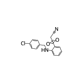 N#CCS(=O)(=O)c1ccccc1NCc1ccc(Cl)cc1